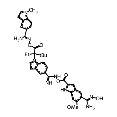 CCC(C(=O)ON=C(N)c1ccc2c(ccn2C)c1)(n1ccc2cc(C(=N)NOC(=O)c3cc4cc(C(N)=NO)c(OC)cc4[nH]3)ccc21)C(C)(C)C